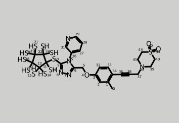 Cc1cc(OCc2nnc(SC3(S)C(S)(S)C(S)(S)C(S)(S)C3(S)S)n2-c2cccnc2)ccc1C#CCN1CCS(=O)(=O)CC1